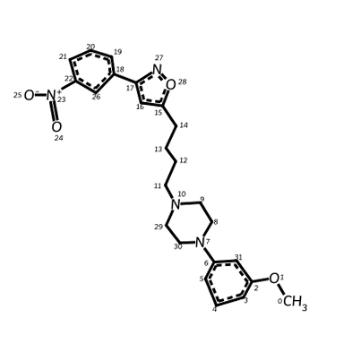 COc1cccc(N2CCN(CCCCc3cc(-c4cccc([N+](=O)[O-])c4)no3)CC2)c1